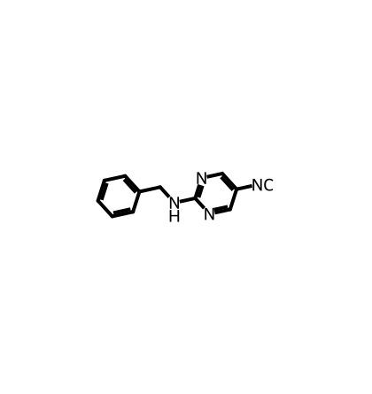 [C-]#[N+]c1cnc(NCc2ccccc2)nc1